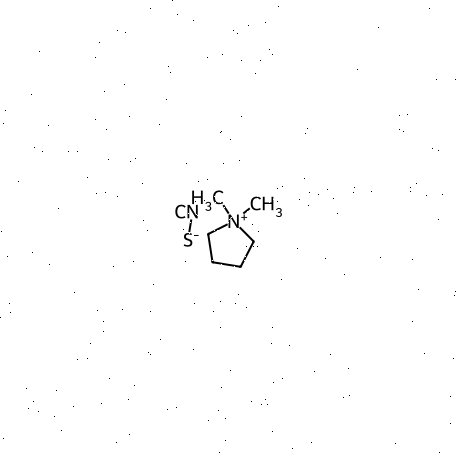 C[N+]1(C)CCCC1.N#C[S-]